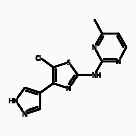 Cc1ccnc(Nc2nc(-c3cn[nH]c3)c(Cl)s2)n1